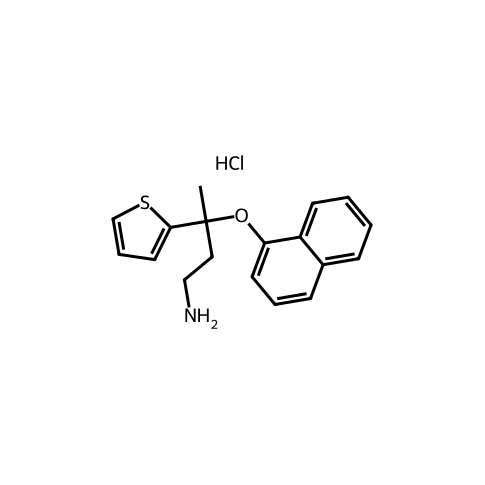 CC(CCN)(Oc1cccc2ccccc12)c1cccs1.Cl